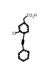 O=C(O)Cc1ccc(C#Cc2ccccc2)c(Cl)c1